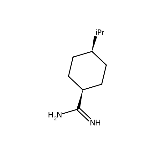 CC(C)[C@H]1CC[C@@H](C(=N)N)CC1